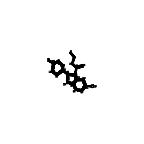 CCSC(=S)c1c(-c2ccc(C)cc2)sc2ccc(Cl)cc12